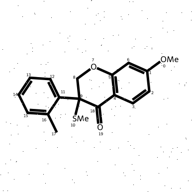 COc1ccc2c(c1)OCC(SC)(c1ccccc1C)C2=O